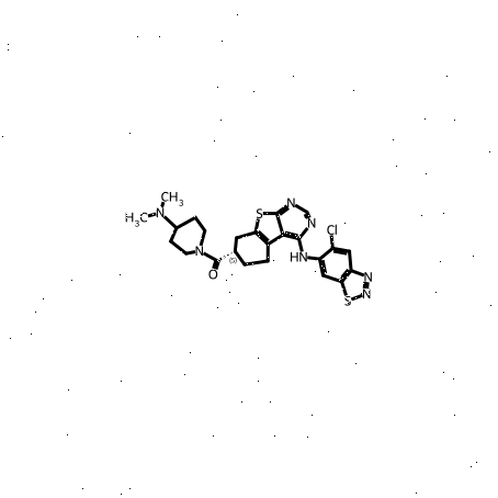 CN(C)C1CCN(C(=O)[C@H]2CCc3c(sc4ncnc(Nc5cc6snnc6cc5Cl)c34)C2)CC1